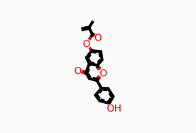 C=C(C)C(=O)Oc1ccc2oc(-c3ccc(O)cc3)cc(=O)c2c1